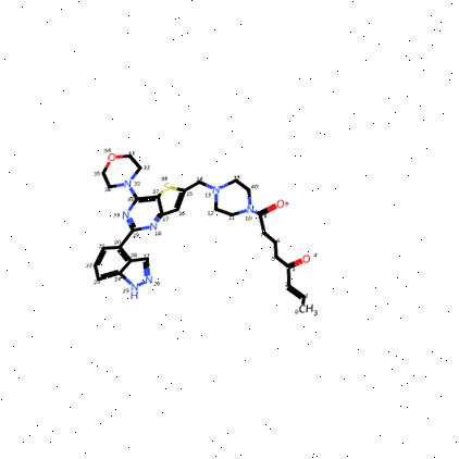 CC=CC(=O)CCCC(=O)N1CCN(Cc2cc3nc(-c4cccc5[nH]ncc45)nc(N4CCOCC4)c3s2)CC1